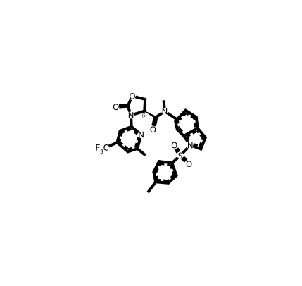 Cc1ccc(S(=O)(=O)n2ccc3ccc(N(C)C(=O)[C@@H]4COC(=O)N4c4cc(C(F)(F)F)cc(C)n4)cc32)cc1